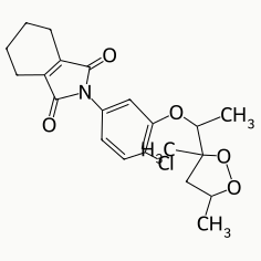 CC1CC(C)(C(C)Oc2cc(N3C(=O)C4=C(CCCC4)C3=O)ccc2Cl)OO1